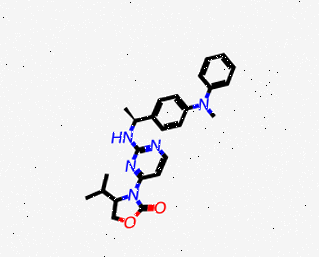 CC(C)C1COC(=O)N1c1ccnc(N[C@@H](C)c2ccc(N(C)c3ccccc3)cc2)n1